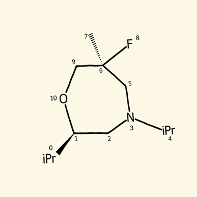 CC(C)[C@@H]1CN(C(C)C)C[C@](C)(F)CO1